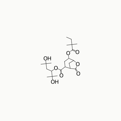 CCC(C)(C)C(=O)OC1CC(C(=O)OC(CC(C)(C)O)C(C)(C)O)C2CC1OC2=O